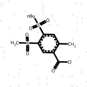 CCCCS(=O)(=O)c1cc(C)c(C(=O)Cl)cc1S(C)(=O)=O